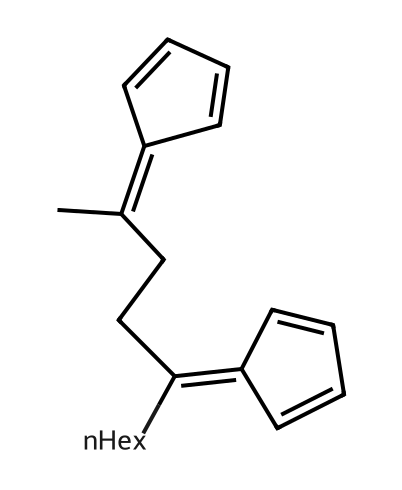 CCCCCCC(CCC(C)=C1C=CC=C1)=C1C=CC=C1